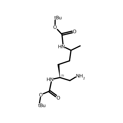 CC(CC[C@@H](CN)NC(=O)OC(C)(C)C)NC(=O)OC(C)(C)C